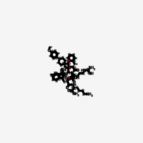 CCCCC(=O)N[C@@H](CC(=O)O)C(=O)N[C@]1(C(=O)N[C@H](Cc2ccccc2)C(=O)N[C@@H](CCCNC(=N)N)C(=O)N[C@@H](Cc2c[nH]c3ccccc23)C(=O)N[C@@H](CCCCN)C(N)=O)CC[C@H](c2ccc(OC)cc2)CC1